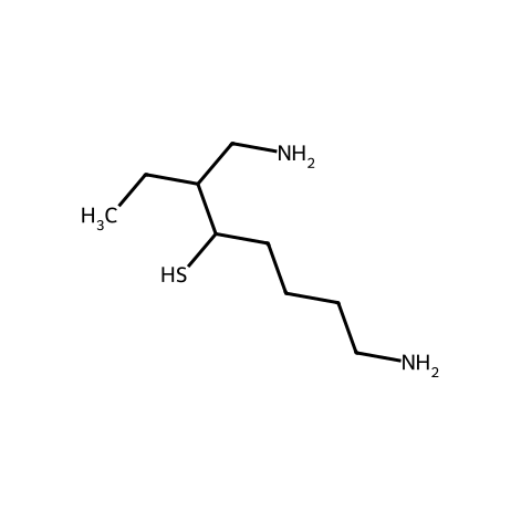 CCC(CN)C(S)CCCCN